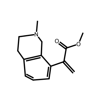 C=C(C(=O)OC)c1cccc2c1CN(C)CC2